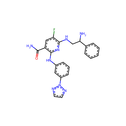 NC(=O)c1cc(F)c(NCC(N)c2ccccc2)nc1Nc1cccc(-n2nccn2)c1